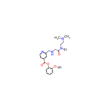 CCN(CCN(C)C)C(=O)CNCc1cc(C(=O)Oc2ccccc2OC(C)C)ccn1